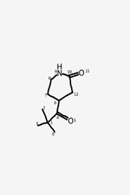 CC(C)(C)C(=O)C1CCNC(=O)C1